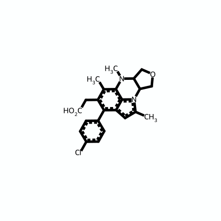 Cc1c(CC(=O)O)c(-c2ccc(Cl)cc2)c2cc(C)n3c2c1N(C)C1COCC13